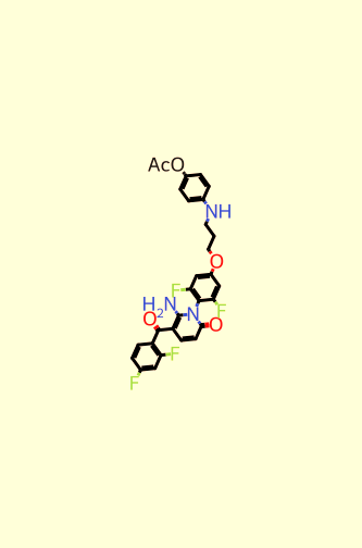 CC(=O)Oc1ccc(NCCCOc2cc(F)c(-n3c(N)c(C(=O)c4ccc(F)cc4F)ccc3=O)c(F)c2)cc1